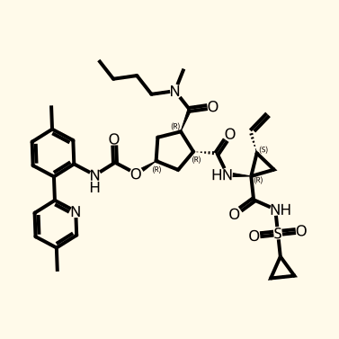 C=C[C@@H]1C[C@]1(NC(=O)[C@@H]1C[C@@H](OC(=O)Nc2cc(C)ccc2-c2ccc(C)cn2)C[C@H]1C(=O)N(C)CCCC)C(=O)NS(=O)(=O)C1CC1